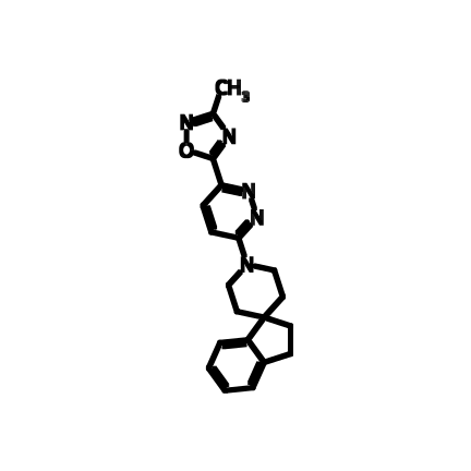 Cc1noc(-c2ccc(N3CCC4(CCc5ccccc54)CC3)nn2)n1